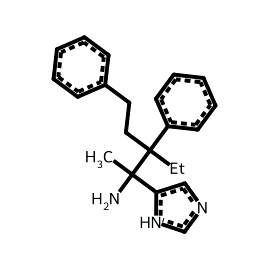 CCC(CCc1ccccc1)(c1ccccc1)C(C)(N)c1cnc[nH]1